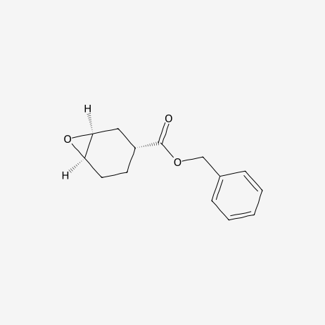 O=C(OCc1ccccc1)[C@@H]1CC[C@H]2O[C@H]2C1